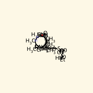 CCNC(=O)CCN1C(=O)CC(SCCOCCO[C@@H](C)C(=O)O[C@H]2CC(=O)N(C)c3cc(cc(C)c3Cl)C/C(C)=C/C=C/[C@@H](C)[C@@]3(O)CC(OC(=O)N3)[C@@H](C)[C@@H]3O[C@@]23C)C1=O